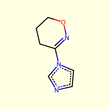 c1cn(C2=NOCCC2)cn1